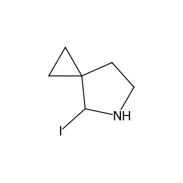 IC1NCCC12CC2